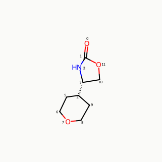 O=C1N[C@@H](C2CCOCC2)CO1